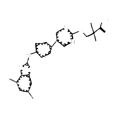 Cc1cc(C)c2nc(Nc3ccc(-c4cnc(OCC(C)(C)C(=O)O)nc4)cc3)sc2c1